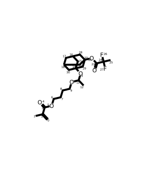 C=C(C)C(=O)OCCCCOC(C)OC12CC3CC(CC(OC(=O)C(C)(F)F)(C3)C1)C2